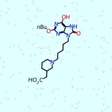 CCCCOc1nc(O)c2[nH]c(=O)n(CCCCCN3CCCC(CC(=O)O)C3)c2n1